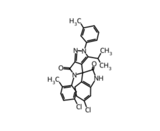 Cc1cccc(-n2nc3c(c2C(C)C)C2(C(=O)NC4=C2CCC(Cl)=C4)N(c2cc(Cl)ccc2C)C3=O)c1